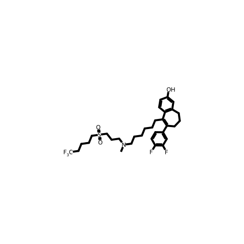 CN(CCCCCCC1=C(c2ccc(F)c(F)c2)CCCc2cc(O)ccc21)CCCS(=O)(=O)CCCCC(F)(F)F